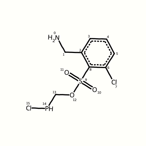 NCc1cccc(Cl)c1S(=O)(=O)OCPCl